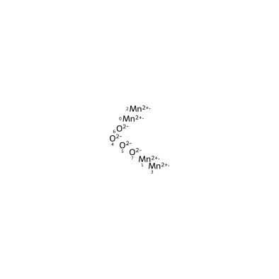 [Mn+2].[Mn+2].[Mn+2].[Mn+2].[O-2].[O-2].[O-2].[O-2]